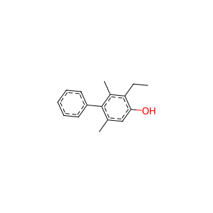 CCc1c(O)cc(C)c(-c2ccccc2)c1C